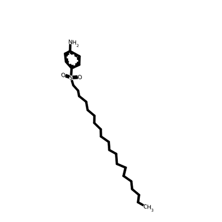 CCCCCCCCCCCCCCCCCCCCS(=O)(=O)c1ccc(N)cc1